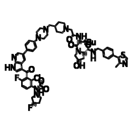 Cc1ncsc1-c1ccc(CNC(=O)[C@@H]2C[C@@H](O)CN2C(=O)[C@@H](NC(=O)CN2CCC(CN3CCN(c4ccc(-c5cnc6[nH]cc(C(=O)c7c(F)ccc(N(N8CC[C@@H](F)C8)[SH](=O)=O)c7Cl)c6c5)cc4)CC3)CC2)C(C)(C)C)cc1